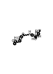 CC(O)(COc1ccc(NCCCCCC(=O)N2CCN(C(=O)c3cc(Cc4n[nH]c(=O)c5ccccc45)ccc3F)CC2)cc1)C(=O)Nc1ccc(C#N)c(C(F)(F)F)c1